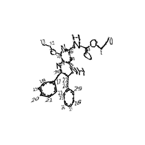 CCOC(=O)Nc1cc2c(c(OCC)n1)N=C(c1ccccc1)C(c1ccccc1)N2